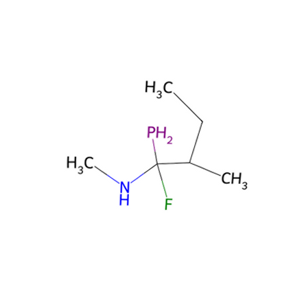 CCC(C)C(F)(P)NC